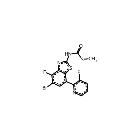 CSC(=O)Nc1nc2c(F)c(Br)cc(-c3ncccc3F)c2s1